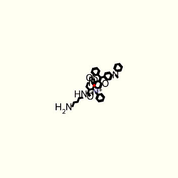 CN(c1ccccc1)c1ccc2c(-c3ccccc3S(=O)(=O)N3CCC(C(=O)NCCCCCN)CC3)c3cc/c(=[N+](\C)c4ccccc4)cc-3oc2c1